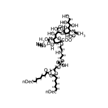 CCCCCCCCCCCCCCCC(=O)OC[C@H](COP(=O)(O)OCCNCCO[C@]1(C(=O)[O-])C[C@H](O)[C@@H](N=C(C)[O-])[C@H]([C@H](O)[C@@H](CO)O[C@]2(C(=O)O)C[C@H](O)[C@@H](N=C(C)[O-])[C@H]([C@H](O)[C@H](O)CO)O2)O1)OC(=O)CCCCCCCCCCCCCCC.[Na+].[Na+].[Na+]